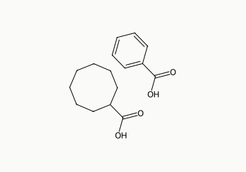 O=C(O)C1CCCCCCC1.O=C(O)c1ccccc1